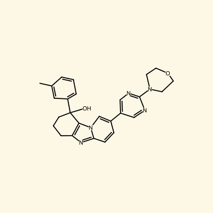 Cc1cccc(C2(O)CCCc3nc4ccc(-c5cnc(N6CCOCC6)nc5)cn4c32)c1